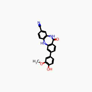 COc1cc(-c2ccc3c(c2)Nc2ccc(C#N)cc2NC3=O)ccc1O